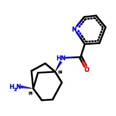 N[C@]12CCC[C@](NC(=O)c3ccccn3)(CC1)C2